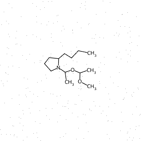 CCCCC1CCCN1C(C)OC(C)OC